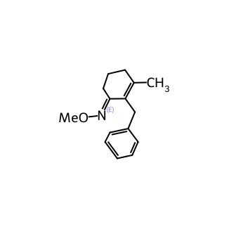 CO/N=C1\CCCC(C)=C1Cc1ccccc1